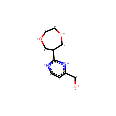 OCc1ccnc(C2COCCOC2)n1